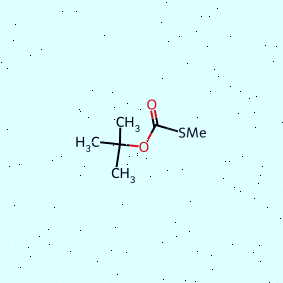 CSC(=O)OC(C)(C)C